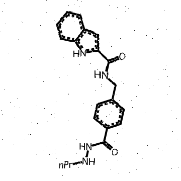 CCCNNC(=O)c1ccc(CNC(=O)c2cc3ccccc3[nH]2)cc1